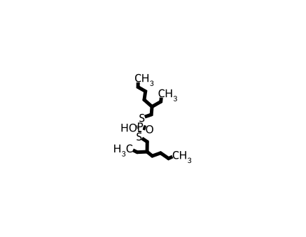 CCCCC(CC)CSP(=O)(O)SCC(CC)CCCC